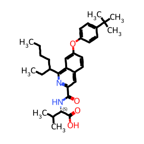 CCCCC(CC)c1nc(C(=O)N[C@H](C(=O)O)C(C)C)cc2ccc(Oc3ccc(C(C)(C)C)cc3)cc12